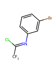 FC(F)(F)C(Cl)=Nc1cccc(Br)c1